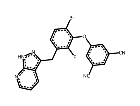 N#Cc1cc(C#N)cc(Oc2c(Br)ccc(Cc3n[nH]c4ncccc34)c2F)c1